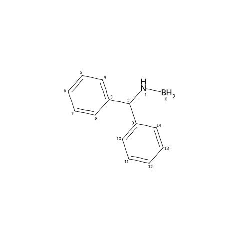 BNC(c1ccccc1)c1ccccc1